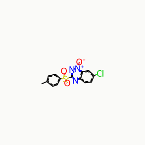 Cc1ccc(S(=O)(=O)c2nc3ccc(Cl)cc3[n+]([O-])n2)cc1